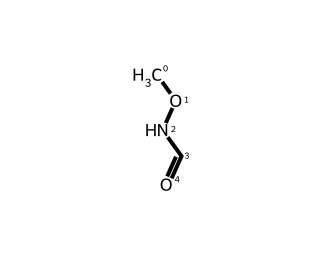 CONC=O